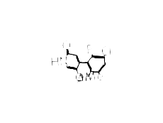 COc1c[nH]c(=O)cc1-c1c(C(C)=O)ccc(Cl)c1F